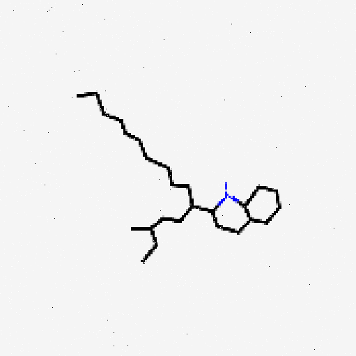 CCCCCCCCCCC(CCC(C)CC)C1CCC2CCCCC2N1